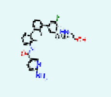 COc1cc(-c2cccc(-c3cccc(NC(=O)c4ccc(N)nc4)c3C)c2C)cc(F)c1CNCCO